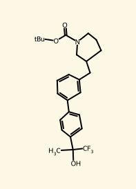 CC(C)(C)OC(=O)N1CCCC(Cc2cccc(-c3ccc(C(C)(O)C(F)(F)F)cc3)c2)C1